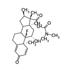 C[C@@H]1CC2C3CCC4=CC(=O)C=C[C@]4(C)[C@@]3(F)[C@@H](O)C[C@]2(C)[C@@]1(C)C(=O)OC(=O)N(C)C